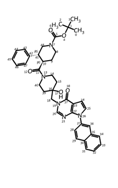 CC(C)(C)OC(=O)N1CC[C@@H](C(=O)N2CCC(O)(Cn3cnc4c(ccn4-c4ccc5ccccc5c4)c3=O)CC2)[C@H](c2ccccc2)C1